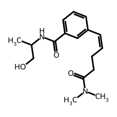 CC(CO)NC(=O)c1cccc(/C=C\CCC(=O)N(C)C)c1